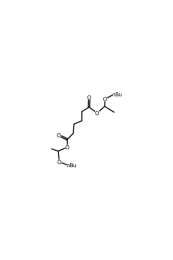 CCCCOC(C)OC(=O)CCCCC(=O)OC(C)OCCCC